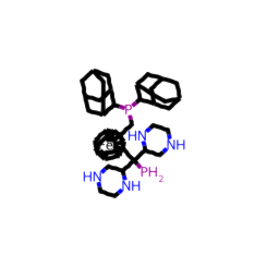 PC(C1CNCCN1)(C1CNCCN1)[C]12[CH]3[CH]4[CH]5[C]1(CP(C1C6CC7CC(C6)CC1C7)C1C6CC7CC(C6)CC1C7)[Fe]45321678[CH]2[CH]1[CH]6[CH]7[CH]28